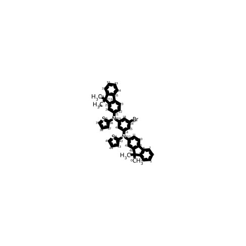 CC1(C)c2ccccc2-c2ccc(N(c3cc(Br)cc(N(c4ccc5c(c4)C(C)(C)c4ccccc4-5)c4cccs4)c3)c3cccs3)cc21